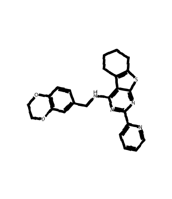 c1ccc(-c2nc(NCc3ccc4c(c3)OCCO4)c3c4c(sc3n2)CCCC4)nc1